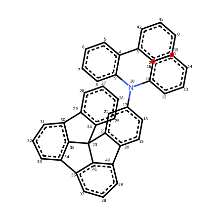 c1ccc(-c2ccccc2N(c2ccccc2)c2ccc3c(c2)C24c5ccccc5-c5cccc(c52)-c2cccc-3c24)cc1